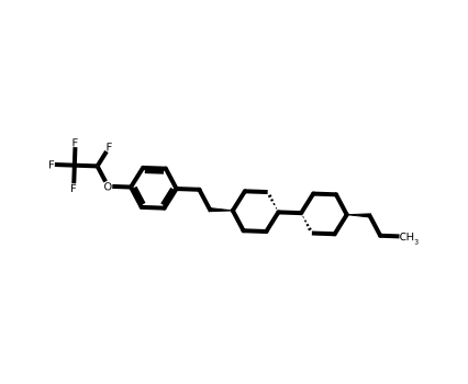 CCC[C@H]1CC[C@H]([C@H]2CC[C@H](CCc3ccc(OC(F)C(F)(F)F)cc3)CC2)CC1